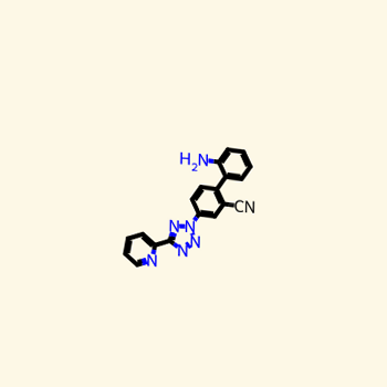 N#Cc1cc(-n2nnc(-c3ccccn3)n2)ccc1-c1ccccc1N